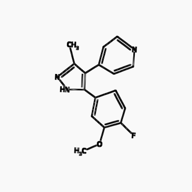 COc1cc(-c2[nH]nc(C)c2-c2ccncc2)ccc1F